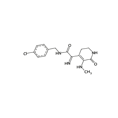 CNC1=C(C(=N)C(=O)NCc2ccc(Cl)cc2)CCNC1=O